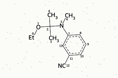 CCOC(C)(C)N(C)c1cccc(C#N)c1